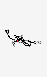 COc1ccc2c(c1)[C@@]13CC(=O)C=CC1[C@@H]1N(CC4CC4)C4C3C41C2